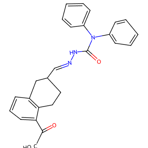 O=C(O)C(=O)c1cccc2c1CCC(C=NNC(=O)N(c1ccccc1)c1ccccc1)C2